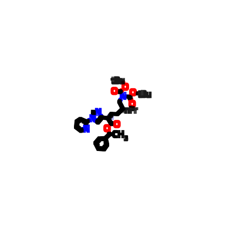 CCC[C@H](C/C=C(\C(=O)OC(C)c1ccccc1)c1cn(-c2ccccn2)cn1)CN(C(=O)OC(C)(C)C)C(=O)OC(C)(C)C